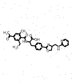 CCc1cc(C(C)=O)cc(C)c1C(=O)NC(Cc1ccc(C2=NC(CNc3ccccn3)CO2)cc1)C(=O)O